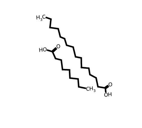 CCCCCCCCC(=O)O.CCCCCCCCCCCCCCCC(=O)O